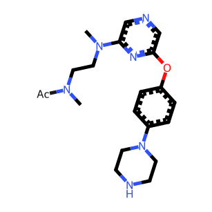 CC(=O)N(C)CCN(C)c1cncc(Oc2ccc(N3CCNCC3)cc2)n1